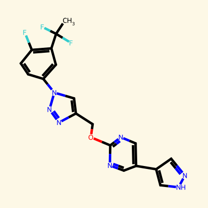 CC(F)(F)c1cc(-n2cc(COc3ncc(-c4cn[nH]c4)cn3)nn2)ccc1F